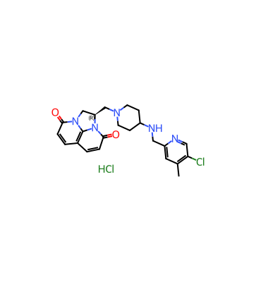 Cc1cc(CNC2CCN(C[C@@H]3Cn4c(=O)ccc5ccc(=O)n3c54)CC2)ncc1Cl.Cl